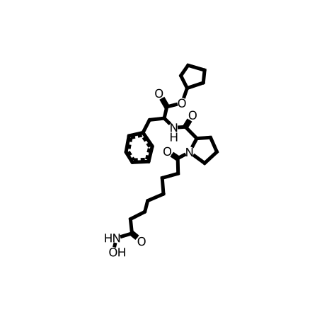 O=C(CCCCCCC(=O)N1CCCC1C(=O)NC(Cc1ccccc1)C(=O)OC1CCCC1)NO